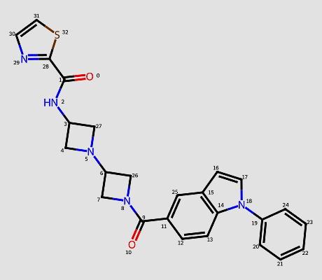 O=C(NC1CN(C2CN(C(=O)c3ccc4c(ccn4-c4ccccc4)c3)C2)C1)c1nccs1